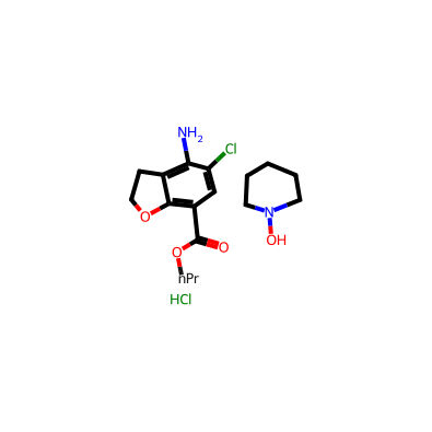 CCCOC(=O)c1cc(Cl)c(N)c2c1OCC2.Cl.ON1CCCCC1